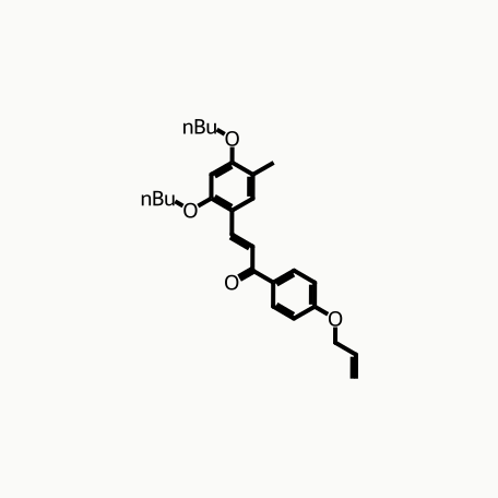 C=CCOc1ccc(C(=O)C=Cc2cc(C)c(OCCCC)cc2OCCCC)cc1